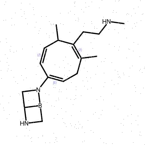 CNCC/C1=C(\C)C/C=C(N2CC3NCB32)\C=C/C1C